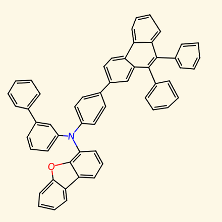 c1ccc(-c2cccc(N(c3ccc(-c4ccc5c(c4)c(-c4ccccc4)c(-c4ccccc4)c4ccccc45)cc3)c3cccc4c3oc3ccccc34)c2)cc1